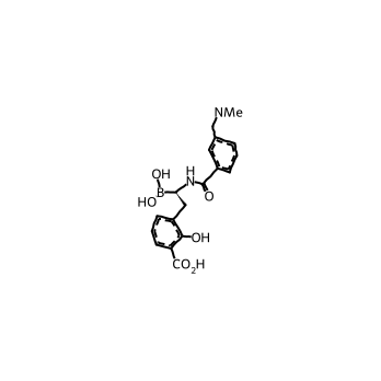 CNCc1cccc(C(=O)N[C@@H](Cc2cccc(C(=O)O)c2O)B(O)O)c1